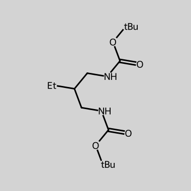 CCC(CNC(=O)OC(C)(C)C)CNC(=O)OC(C)(C)C